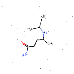 CC(C)NC(C)CCC(N)=O